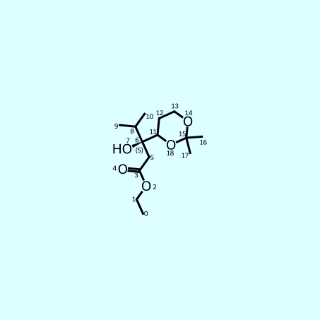 CCOC(=O)C[C@](O)(C(C)C)C1CCOC(C)(C)O1